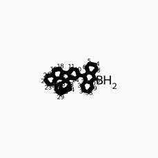 Bc1c2ccccc2c(-c2ccc3c(c2)C2(c4c-3ccc3ccccc43)C3CC4CC(C3)CC2C4)c2ccccc12